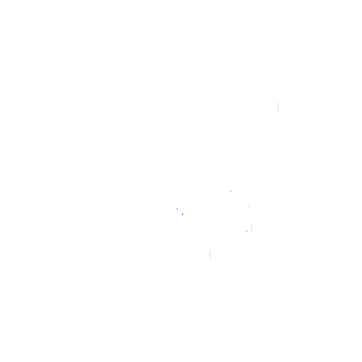 O=[N+]([O-])c1c(-c2ccc(F)cc2)cccc1C(CCF)(O[SiH3])c1ccc(F)cc1